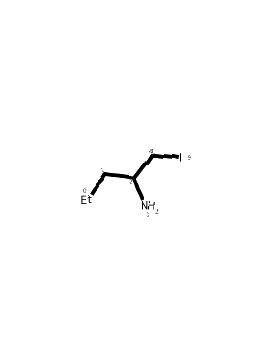 CCCC(N)CI